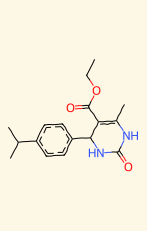 CCOC(=O)C1=C(C)NC(=O)NC1c1ccc(C(C)C)cc1